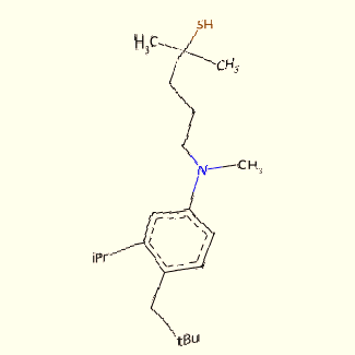 CC(C)c1cc(N(C)CCCC(C)(C)S)ccc1CC(C)(C)C